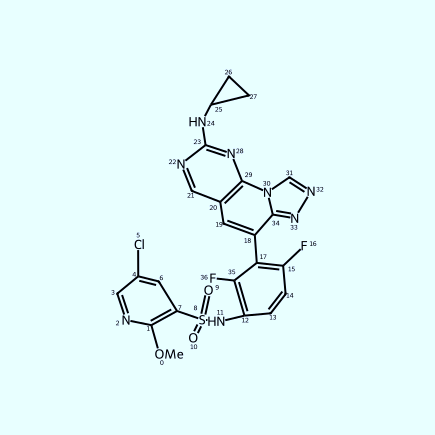 COc1ncc(Cl)cc1S(=O)(=O)Nc1ccc(F)c(-c2cc3cnc(NC4CC4)nc3n3cnnc23)c1F